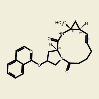 O=C1N[C@]2(C(=O)O)C[C@H]2/C=C/CCCC(=O)N2CC(Oc3nccc4ccccc34)C[C@@H]12